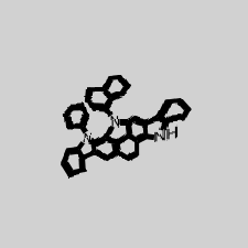 c1ccc(-n2c3ccccc3c3cc4ccc5c6[nH]c7ccccc7c6cc6c5c4c(c32)n6-c2cccc3ccccc23)cc1